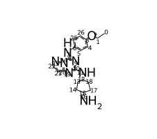 CCOc1ccc(Nc2nc(N[C@H]3CC[C@H](N)CC3)nc3ccnn23)cc1